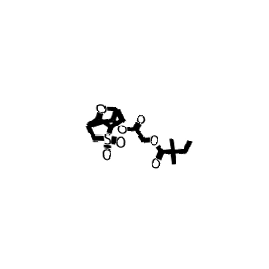 CCC(C)(C)C(=O)OCC(=O)OC1C2CC3C(O2)C1CS3(=O)=O